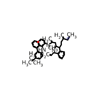 C=CC1=NC(CC(=C)N(C)c2ccccc2Nc2ccc(C(C)(C)C)cc2-c2ccccc2)C(CCC(=C)/C=C\C)c2ccccc21